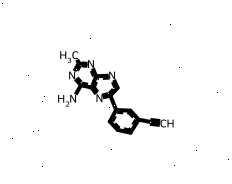 C#Cc1cccc(-c2cnc3nc(C)nc(N)c3n2)c1